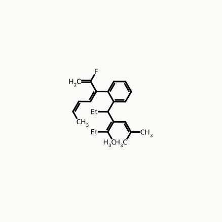 C=C(F)/C(=C\C=C/C)c1ccccc1C(CC)/C(C=C(C)C)=C(/C)CC